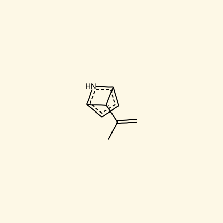 C=C(C)[C]1c2ccc1[nH]2